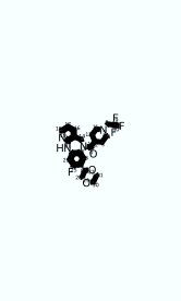 O=C(C1CCN(CC(F)(F)F)CC1)N1Cc2cccnc2Nc2cc(F)c([C@H]3COCCO3)cc21